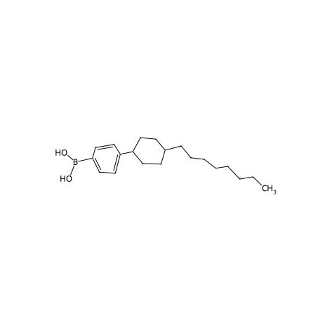 CCCCCCCCC1CCC(c2ccc(B(O)O)cc2)CC1